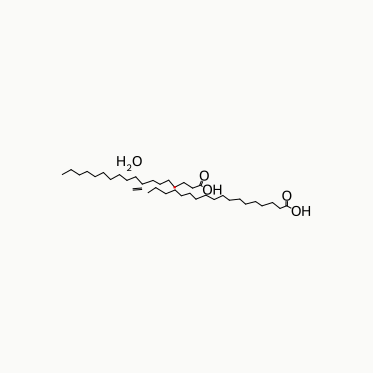 C=C.CCCCCCCCCCCCCCCCCC(=O)O.CCCCCCCCCCCCCCCCCC(=O)O.O